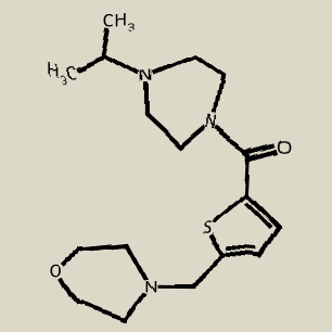 CC(C)N1CCN(C(=O)c2ccc(CN3CCOCC3)s2)CC1